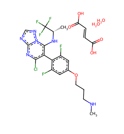 CNCCCOc1cc(F)c(-c2c(Cl)nc3ncnn3c2N[C@@H](C)C(F)(F)F)c(F)c1.O.O.O=C(O)/C=C/C(=O)O